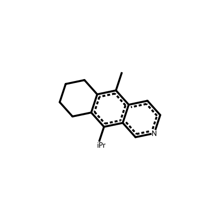 Cc1c2c(c(C(C)C)c3cnccc13)CCCC2